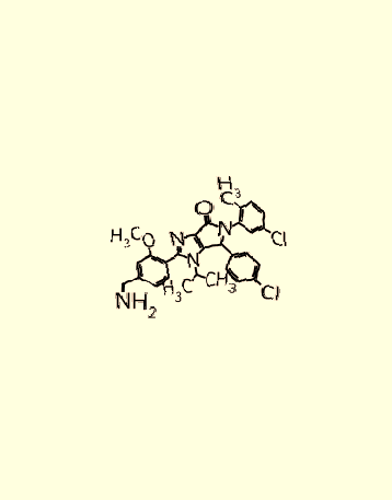 COc1cc(CN)ccc1-c1nc2c(n1C(C)C)C(c1ccc(Cl)cc1)N(c1cc(Cl)ccc1C)C2=O